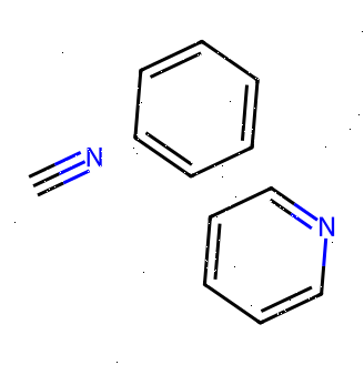 C#N.c1ccccc1.c1ccncc1